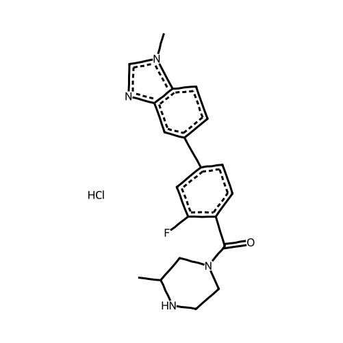 CC1CN(C(=O)c2ccc(-c3ccc4c(c3)ncn4C)cc2F)CCN1.Cl